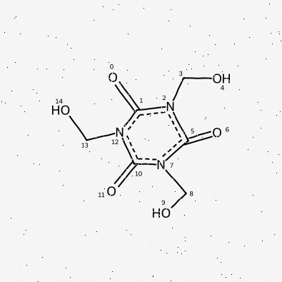 O=c1n(CO)c(=O)n(CO)c(=O)n1CO